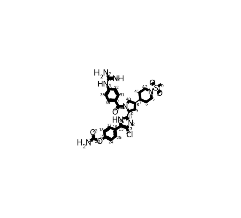 CS(=O)(=O)N1CCC([C@H]2C[C@@H](c3nc(Cl)c(-c4ccc(OC(N)=O)cc4)[nH]3)N(C(=O)c3ccc(NC(=N)N)cc3)C2)CC1